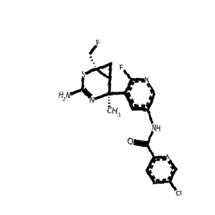 C[C@]1(c2cc(NC(=O)c3ccc(Cl)cn3)cnc2F)N=C(N)S[C@@]2(CF)CC21